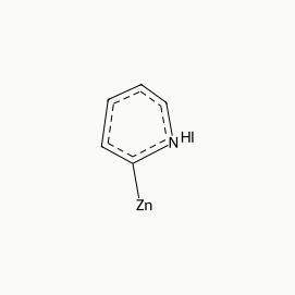 I.[Zn][c]1ccccn1